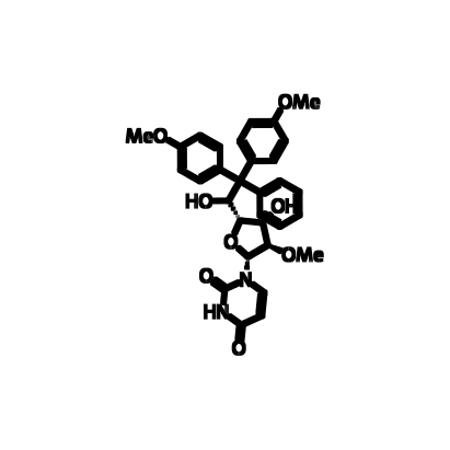 COc1ccc(C(c2ccccc2)(c2ccc(OC)cc2)C(O)[C@H]2O[C@@H](n3ccc(=O)[nH]c3=O)[C@H](OC)[C@@H]2O)cc1